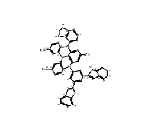 Cc1cc2c3c(c1)N(c1cccc4c1OCO4)c1ccc(C(C)(C)C)cc1B3c1cc(C(C)(C)C)ccc1N2c1cc(-c2cc3ccccc3o2)cc(-c2cc3ccccc3o2)c1